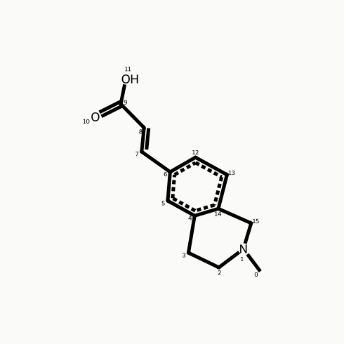 CN1CCc2cc(C=CC(=O)O)ccc2C1